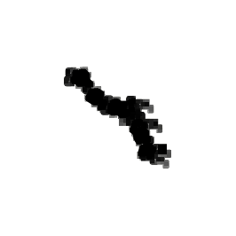 COC(=O)[C@H](Cc1ccc(Oc2ccnc(C)c2C)cc1)NC(=O)[C@@H]1Cc2cc3c(cc2CN1S(C)(=O)=O)O[C@@H](c1ccc(OCc2ccc(Cl)c(Cl)c2)cc1)CO3